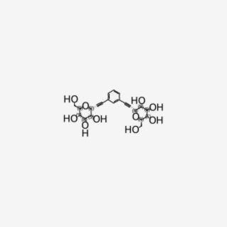 OC[C@H]1O[C@H](C#Cc2cccc(C#C[C@H]3O[C@H](CO)[C@@H](O)[C@H](O)[C@@H]3O)c2)[C@H](O)[C@@H](O)[C@@H]1O